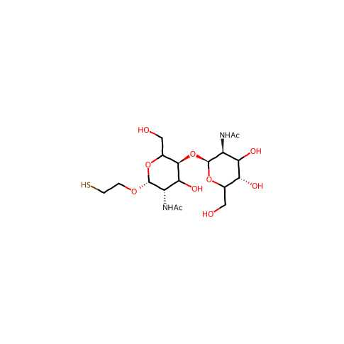 CC(=O)N[C@H]1C(O)[C@H](O)C(CO)O[C@H]1O[C@@H]1C(CO)O[C@@H](OCCS)[C@@H](NC(C)=O)C1O